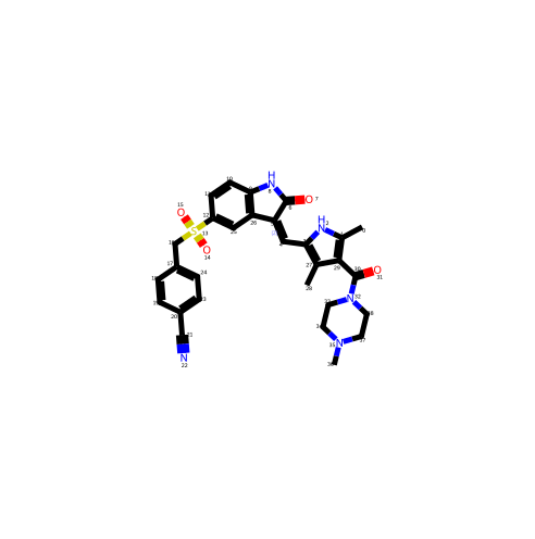 Cc1[nH]c(/C=C2\C(=O)Nc3ccc(S(=O)(=O)Cc4ccc(C#N)cc4)cc32)c(C)c1C(=O)N1CCN(C)CC1